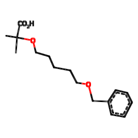 CC(C)(OCCCCCOCc1ccccc1)C(=O)O